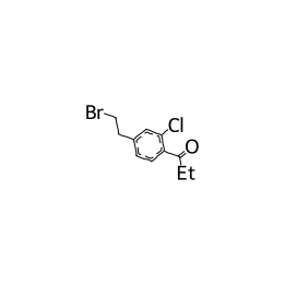 CCC(=O)c1ccc(CCBr)cc1Cl